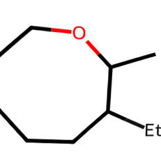 CCC1CCCCCOC1C